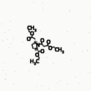 CCOC(=O)CC(=O)N1[C@@H](CC(=O)OCC)CC[C@H]1C(=O)OCC